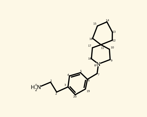 NCCc1ccc(CN2CCC3(CCCCC3)CC2)cc1